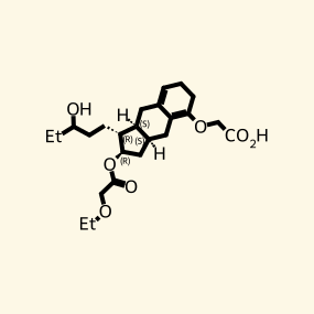 CCOCC(=O)O[C@@H]1C[C@@H]2CC3=C(OCC(=O)O)CCC=C3C[C@@H]2[C@H]1CCC(O)CC